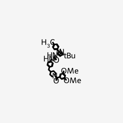 COc1cc(OC)cc(C(=O)N2CCC(Cc3ccc(NC(=O)Nc4cc(C(C)(C)C)nn4-c4ccc(C)cc4)cc3)CC2)c1